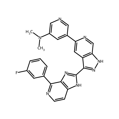 CN(C)c1cncc(-c2cc3c(-c4nc5c(-c6cccc(F)c6)nccc5[nH]4)n[nH]c3cn2)c1